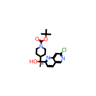 CC(C)(C)OC(=O)N1CCC([C@@](C)(O)c2ccc3cnc(Cl)cc3n2)CC1